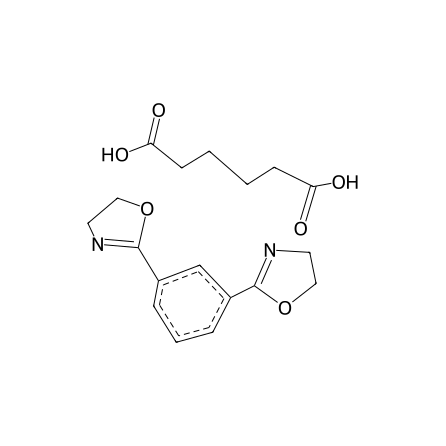 O=C(O)CCCCC(=O)O.c1cc(C2=NCCO2)cc(C2=NCCO2)c1